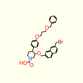 O=C(O)N1CCC(c2ccc(OCCCOCc3ccccc3)cc2)C(OCc2ccc3ccc(CBr)cc3c2)C1